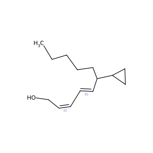 CCCCCC(/C=C/C=C\CO)C1CC1